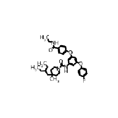 CCNC(=O)c1ccc(Oc2cc(NC(=O)N3CCC(C)(CC(CC)CC)CC3)cc(Oc3ccc(F)cc3)c2)cc1